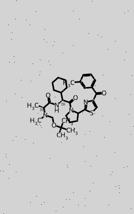 Cc1cccc(C(=O)c2csc(C3CCCN3C(=O)[C@@H](NC(=O)[C@H](C)N(C)COC(C)(C)C)C3CCCCC3)n2)c1